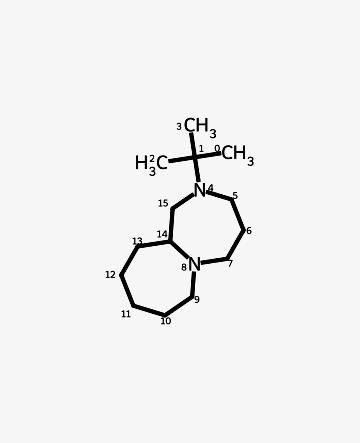 CC(C)(C)N1CCCN2CCCCCC2C1